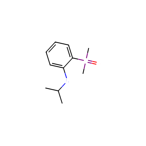 CC(C)Nc1ccccc1P(C)(C)=O